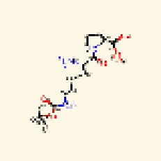 COC(=O)[C@@H]1CCCN1C(=O)[C@@H](N)CCCCNC(=O)OC(C)(C)C